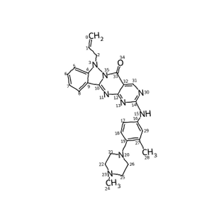 C=CCn1c2ccccc2c2nc3nc(Nc4ccc(N5CCN(C)CC5)c(C)c4)ncc3c(=O)n21